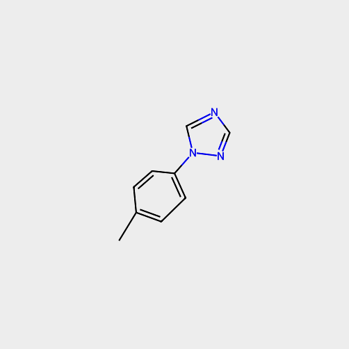 Cc1ccc(-n2cncn2)cc1